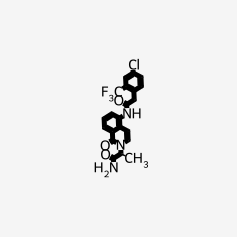 C[C@H](C(N)=O)n1ccc2c(NC(=O)Cc3ccc(Cl)cc3C(F)(F)F)cccc2c1=O